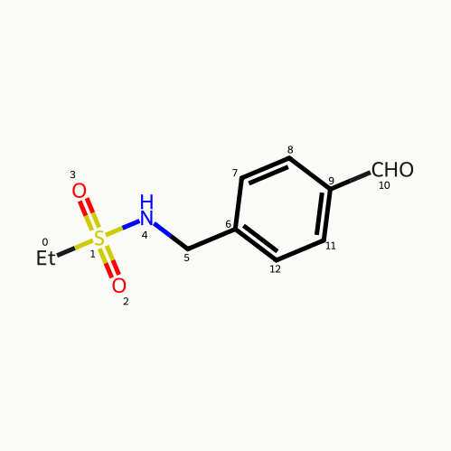 CCS(=O)(=O)NCc1ccc(C=O)cc1